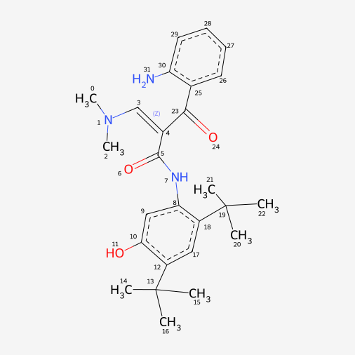 CN(C)/C=C(\C(=O)Nc1cc(O)c(C(C)(C)C)cc1C(C)(C)C)C(=O)c1ccccc1N